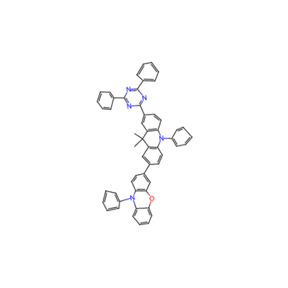 CC1(C)c2cc(-c3ccc4c(c3)Oc3ccccc3N4c3ccccc3)ccc2N(c2ccccc2)c2ccc(-c3nc(-c4ccccc4)nc(-c4ccccc4)n3)cc21